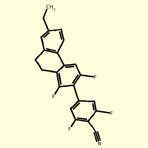 CCc1ccc2c(c1)CCc1c-2cc(F)c(-c2cc(F)c(C#N)c(F)c2)c1F